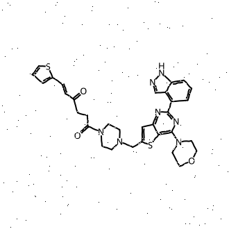 O=C(/C=C/c1cccs1)CCC(=O)N1CCN(Cc2cc3nc(-c4cccc5[nH]ncc45)nc(N4CCOCC4)c3s2)CC1